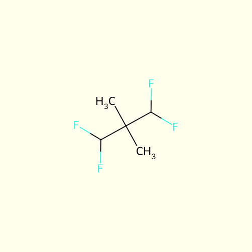 CC(C)(C(F)F)C(F)F